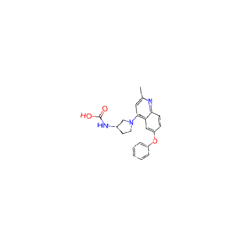 Cc1cc(N2CCC(NC(=O)O)C2)c2cc(Oc3ccccc3)ccc2n1